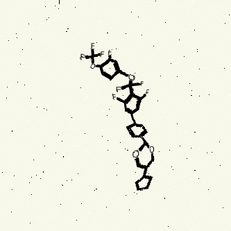 Fc1cc(OC(F)(F)c2c(F)cc(-c3ccc(C4OCC(C5CCCC5)CO4)cc3)cc2F)ccc1OC(F)(F)F